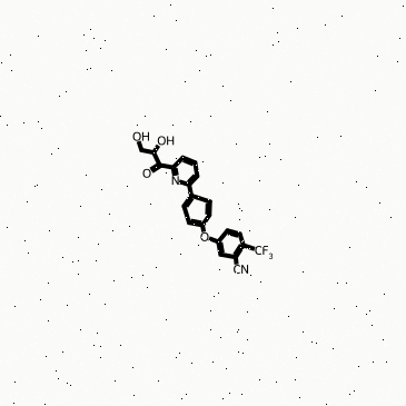 N#Cc1cc(Oc2ccc(-c3cccc(C(=O)C(O)CO)n3)cc2)ccc1C(F)(F)F